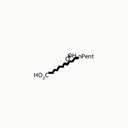 CCCCC/C=C/CC(/C=C/CCCCCCC(=O)O)OO